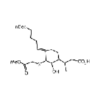 CCCCCCCCCCCCCC=C1CCC(C(C)CC(=O)O)C(O)C1SCC(=O)OC